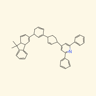 CC1(C)c2ccccc2C2C=C(C3C=C(C4C=CC(c5cc(-c6ccccc6)nc(-c6ccccc6)c5)CC4)C=CC3)C=CC21